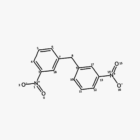 O=[N+]([O-])c1cc[c]c(Cc2[c]ccc([N+](=O)[O-])c2)c1